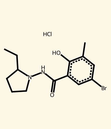 CCC1CCCN1NC(=O)c1cc(Br)cc(C)c1O.Cl